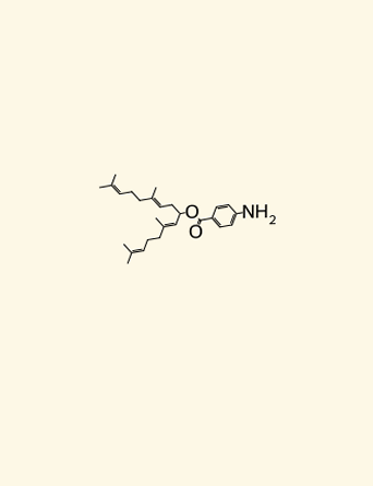 CC(C)=CCC/C(C)=C/CC(/C=C(\C)CCC=C(C)C)OC(=O)c1ccc(N)cc1